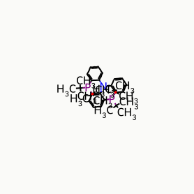 CC(C)(C)P(c1ccccc1N(c1ccccc1)c1ccccc1P(C(C)(C)C)C(C)(C)C)C(C)(C)C